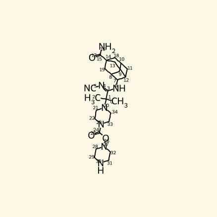 CC(C)(C(=NC#N)NC1C2CC3CC1CC(C(N)=O)(C3)C2)N1CCN(C(=O)ON2CCNCC2)CC1